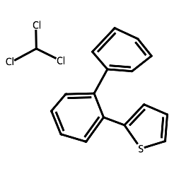 ClC(Cl)Cl.c1ccc(-c2ccccc2-c2cccs2)cc1